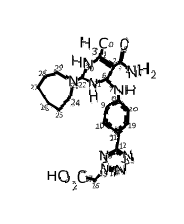 CC1=C(C(N)=O)C(Nc2ccc(-c3nnn(CC(=O)O)n3)cc2)NC(N2CCCCCC2)N1